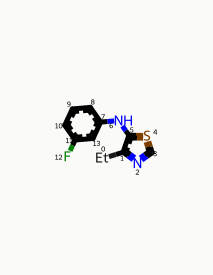 [CH2]Cc1ncsc1Nc1cccc(F)c1